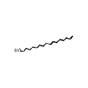 C=CCC=CCC=CCCCCCCCCO